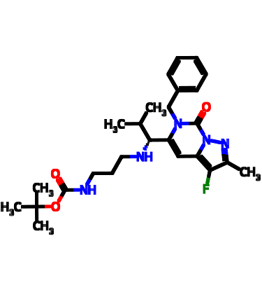 Cc1nn2c(=O)n(Cc3ccccc3)c([C@H](NCCCNC(=O)OC(C)(C)C)C(C)C)cc2c1F